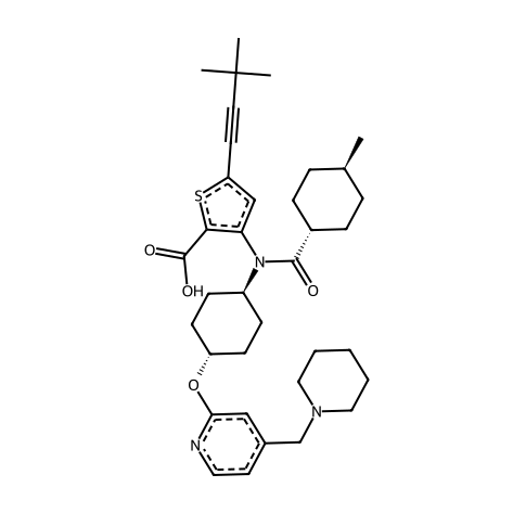 CC(C)(C)C#Cc1cc(N(C(=O)[C@H]2CC[C@H](C)CC2)[C@H]2CC[C@H](Oc3cc(CN4CCCCC4)ccn3)CC2)c(C(=O)O)s1